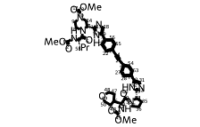 COC(=O)N[C@H](C(=O)N1CCN(C(=O)OC)C[C@H]1c1ncc(-c2ccc(C#Cc3ccc(-c4cnc([C@@H]5CCCN5C(=O)[C@@H](NC(=O)OC)C5CCOCC5)[nH]4)cc3)cc2)[nH]1)C(C)C